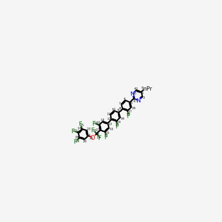 CCCc1cnc(-c2ccc(-c3ccc(-c4cc(F)c(C(F)(F)Oc5cc(F)c(F)c(F)c5)c(F)c4)c(F)c3)c(F)c2)nc1